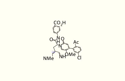 CN/C=C(\C=N)CC(C(=O)Nc1ccc(C(=O)O)cc1)n1cc(OC)c(-c2cc(Cl)ccc2C(C)=O)cc1=O